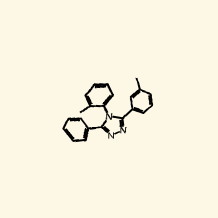 Cc1cccc(-c2nnc(-c3ccccc3)n2-c2ccccc2C)c1